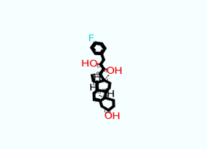 C[C@]12CC[C@H]3[C@@H](CC=C4C[C@@H](O)CC[C@@]43C)[C@@H]1CC[C@@H]2[C@H](O)[C@@H](O)Cc1ccc(F)cc1